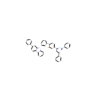 c1ccc(-c2ccc3c4ccccc4n(-c4cccc5c4oc4cc(-c6cc(-c7ccccc7)nc(-c7ccccc7)n6)ccc45)c3c2)cc1